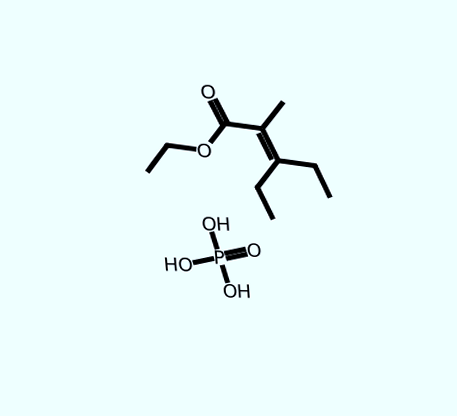 CCOC(=O)C(C)=C(CC)CC.O=P(O)(O)O